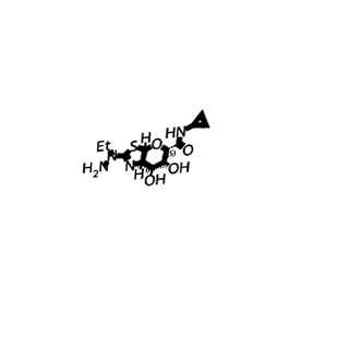 CCN(N)C1=N[C@@H]2[C@@H](O)[C@H](O)[C@@H](C(=O)NC3CC3)O[C@@H]2S1